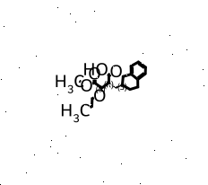 CCCO[C@H](C(=O)OC)[C@@H](C[C@@H]1CCc2ccccc2C1)C(=O)O